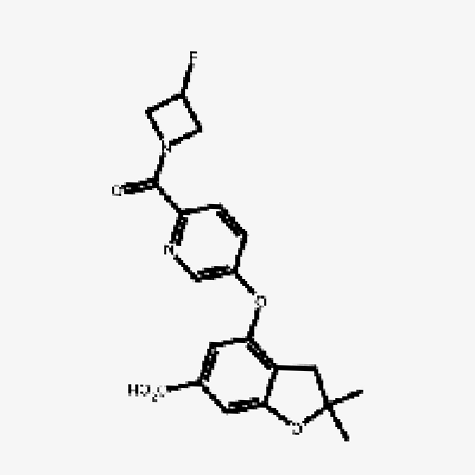 CC1(C)Cc2c(Oc3ccc(C(=O)N4CC(F)C4)nc3)cc(C(=O)O)cc2O1